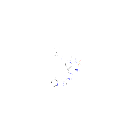 C[C@@H]1C[C@H]1CNc1cc(-c2nnc([C@](C)(N)Cc3ccccc3)o2)c(C#N)c(N(C)S(C)(=O)=O)n1